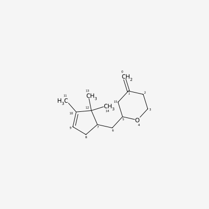 C=C1CCOC(CC2CC=C(C)C2(C)C)C1